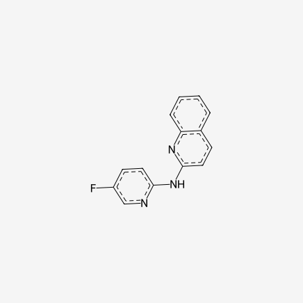 Fc1ccc(Nc2ccc3ccccc3n2)nc1